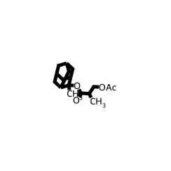 CC(=O)OCC(C)C(=O)OC1(C)C2CC3CC(C2)CC1C3